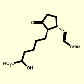 CCCCCCC=C[C@H]1CCC(=O)[C@@H]1CCCCC(O)C(=O)O